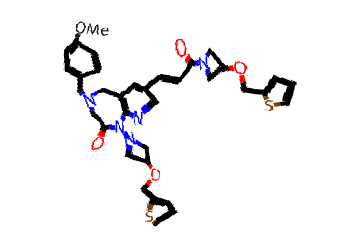 COc1ccc(CN2CC(=O)N(N3CC(OCc4cccs4)C3)c3ncc(/C=C/C(=O)N4CC(OCc5cccs5)C4)cc3C2)cc1